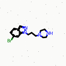 Brc1ccc2cnn(CCCN3CCNCC3)c2c1